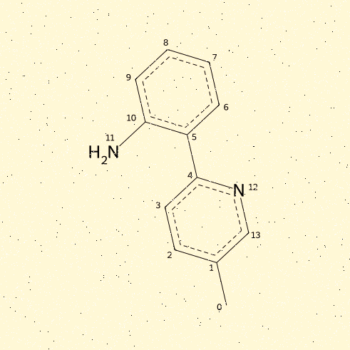 Cc1ccc(-c2ccccc2N)nc1